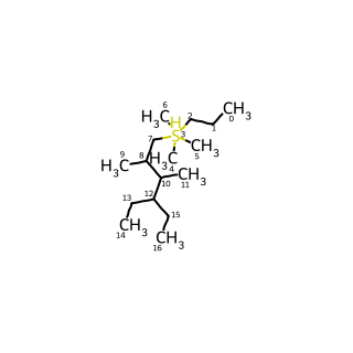 CCC[SH](C)(C)(C)CC(C)C(C)C(CC)CC